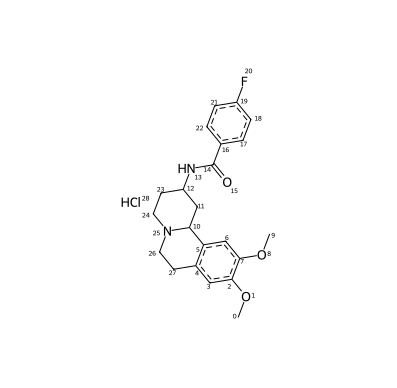 COc1cc2c(cc1OC)C1CC(NC(=O)c3ccc(F)cc3)CCN1CC2.Cl